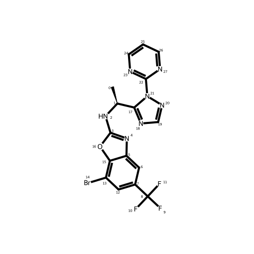 C[C@H](Nc1nc2cc(C(F)(F)F)cc(Br)c2o1)c1ncnn1-c1ncccn1